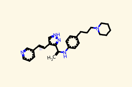 C=C(Nc1ccc(CCCN2CCCCC2)cc1)c1n[nH]cc1/C=C/c1cccnc1